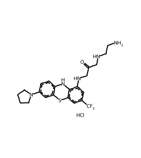 Cl.NCCNCC(=O)CNc1cc(C(F)(F)F)cc2c1Nc1ccc(N3CCCC3)cc1S2